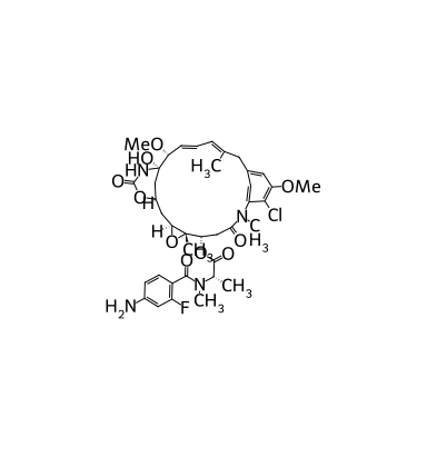 COc1cc2cc(c1Cl)N(C)C(=O)C[C@H](OC(=O)[C@H](C)N(C)C(=O)c1ccc(N)cc1F)[C@]1(C)O[C@H]1C[C@@H]1C[C@@](O)(NC(=O)O1)[C@H](OC)/C=C/C=C(\C)C2